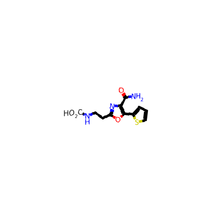 NC(=O)c1nc(CCNC(=O)O)oc1-c1cccs1